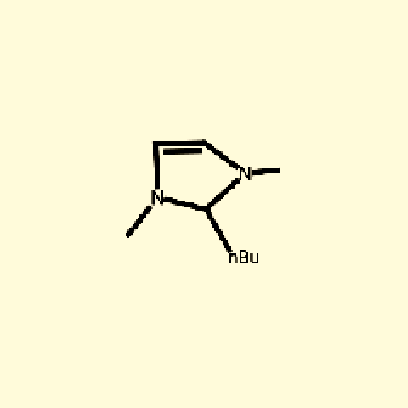 CCCCC1N(C)C=CN1C